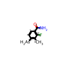 Cc1c([AsH2])ccc(C(N)=O)c1F